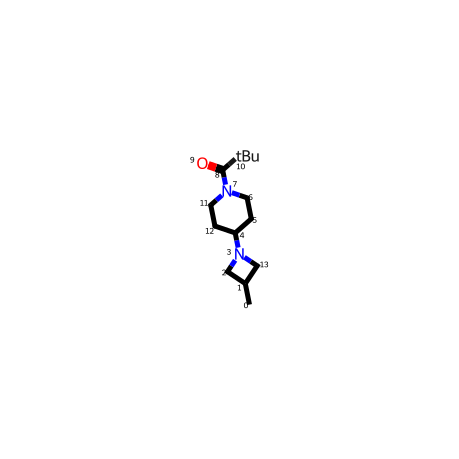 CC1CN(C2CCN(C(=O)C(C)(C)C)CC2)C1